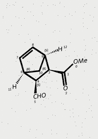 COC(=O)[C@H]1[C@@H](C=O)[C@H]2C=C[C@@H]1C2